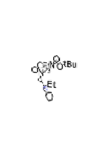 CC/C(=C\c1ccccc1)C1CC1N(CC1(C)CN(C(=O)OC(C)(C)C)C1)C(=O)C(F)(F)F